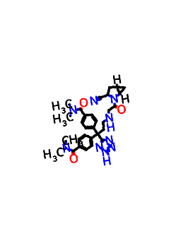 CN(C)C(=O)c1ccc(C(CCNCC(=O)N2C(C#N)C[C@@H]3C[C@@H]32)(c2ccc(C(=O)N(C)C)cc2)c2nn[nH]n2)cc1